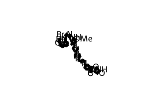 COc1cc(N2CCC(N3CCN(CC4CCN(c5ccc6c(c5)CN(C5CCC(=O)NC5=O)C6=O)C4)CC3)CC2)c(C)cc1Nc1ncc(Br)c(Nc2cccc3ccn(S(C)(=O)=O)c23)n1